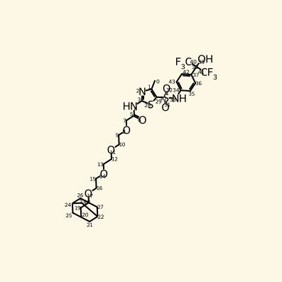 Cc1nc(NC(=O)COCCOCCOCCOC23CC4CC(CC(C4)C2)C3)sc1S(=O)(=O)Nc1ccc(C(O)(C(F)(F)F)C(F)(F)F)cc1